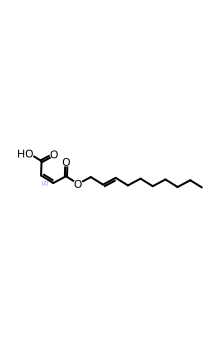 CCCCCCCC=CCOC(=O)/C=C\C(=O)O